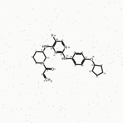 C=CC(=O)N1CCC[C@@H](Nc2nc(Nc3ccc(OC4CCCC4)cc3)ncc2F)C1